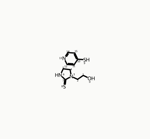 OCCN1CCNC1=S.Sc1ccncc1